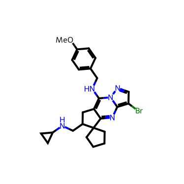 COc1ccc(CNc2c3c(nc4c(Br)cnn24)C2(CCCC2)C(CNC2CC2)C3)cc1